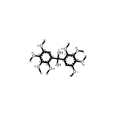 COc1cc(C(O)(S)c2cc(OC)c(OC)c(OC)c2OC)c(OC)c(OC)c1OC